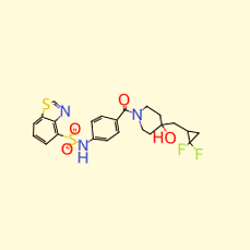 O=C(c1ccc(NS(=O)(=O)c2cccc3scnc23)cc1)N1CCC(O)(CC2CC2(F)F)CC1